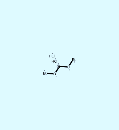 CCO[Si]OCC.Cl.Cl